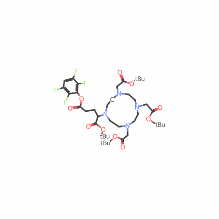 CC(C)(C)OC(=O)CN1CCN(CC(=O)OC(C)(C)C)CCN(C(CCC(=O)Oc2c(F)c(F)cc(F)c2F)C(=O)OC(C)(C)C)CCN(CC(=O)OC(C)(C)C)CC1